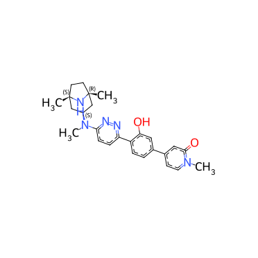 CN(c1ccc(-c2ccc(-c3ccn(C)c(=O)c3)cc2O)nn1)[C@H]1C[C@]2(C)CC[C@](C)(C1)N2